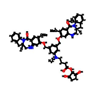 COc1cc2c(cc1OCc1cc(COc3cc4c(cc3OC)C(=O)N3c5ccccc5C[C@H]3CN4)cc(N(C)CCCC(=O)OC3C(=O)CCC3=O)c1)N=C[C@@H]1CC3C=CC=CC3(C)N1C2=O